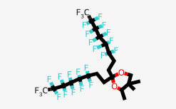 CC1OC(CCC(F)(F)C(F)(F)C(F)(F)C(F)(F)C(F)(F)C(F)(F)F)(CCC(F)(F)C(F)(F)C(F)(F)C(F)(F)C(F)(F)C(F)(F)F)OCC1(C)C